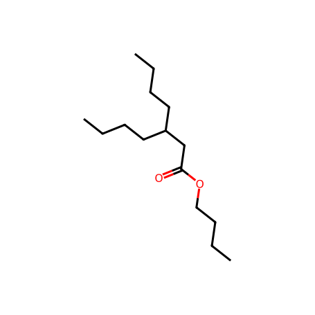 CCCCOC(=O)CC(CCCC)CCCC